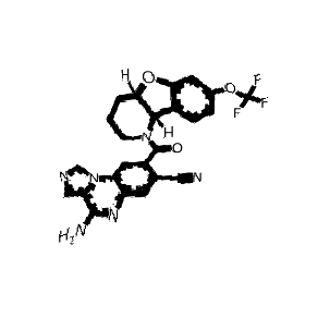 N#Cc1cc2nc(N)c3cncn3c2cc1C(=O)N1CCC[C@@H]2Oc3cc(OC(F)(F)F)ccc3[C@@H]21